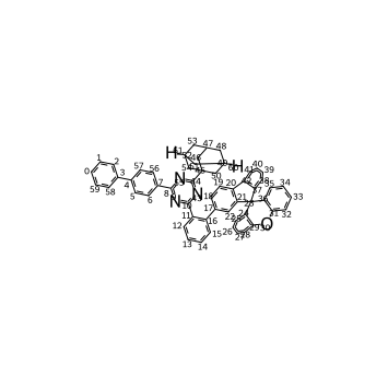 c1ccc(-c2ccc(-c3nc(-c4ccccc4-c4ccc5c(c4)C4(c6ccccc6Oc6ccccc64)c4ccccc4-5)nc(C45CC6C[C@H](C4)C[C@@H](C6)C5)n3)cc2)cc1